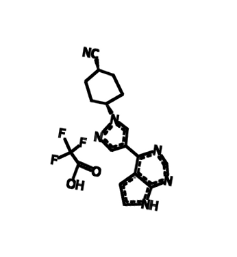 N#C[C@H]1CC[C@@H](n2cc(-c3ncnc4[nH]ccc34)cn2)CC1.O=C(O)C(F)(F)F